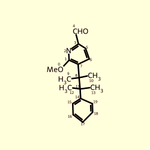 COc1nc(C=O)ccc1C(C)(C)C(C)(C)c1ccccc1